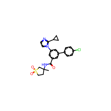 CC1(NC(=O)c2cc(-c3ccc(Cl)cc3)cc(-n3ccnc3C3CC3)c2)CCS(=O)(=O)C1